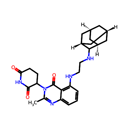 Cc1nc2cccc(NCCNC3[C@H]4C[C@@H]5C[C@@H](C[C@H]3C5)C4)c2c(=O)n1C1CCC(=O)NC1=O